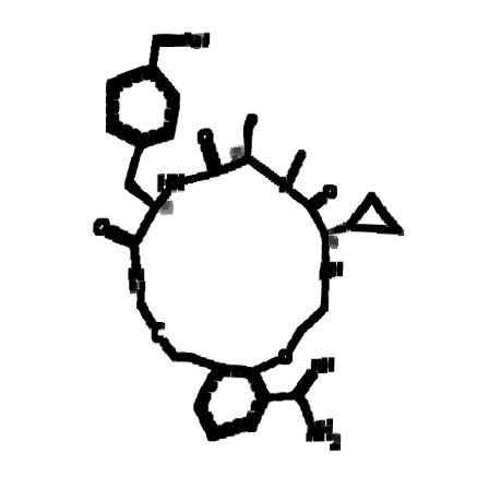 C[C@@H]1C(=O)N[C@H](Cc2ccc(C=N)cc2)C(=O)NCCCc2cccc(C(=N)N)c2OCCN[C@@H](C2CC2)C(=O)N1C